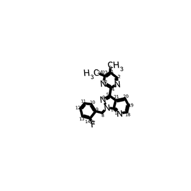 Cc1cnc(-c2nn(Cc3ccccc3F)c3ncccc23)nc1C